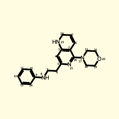 C1=Cc2c(cc(CCNc3ccccc3)nc2N2CCOCC2)NC1